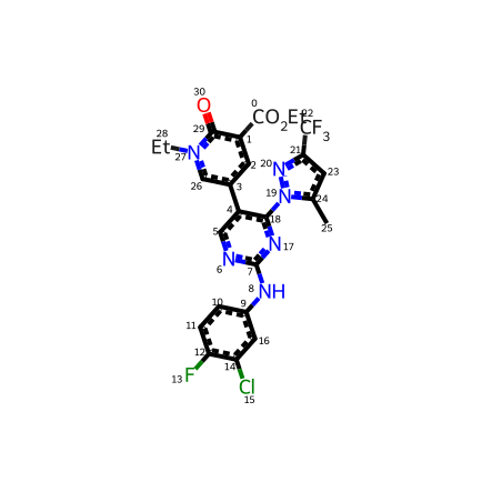 CCOC(=O)c1cc(-c2cnc(Nc3ccc(F)c(Cl)c3)nc2-n2nc(C(F)(F)F)cc2C)cn(CC)c1=O